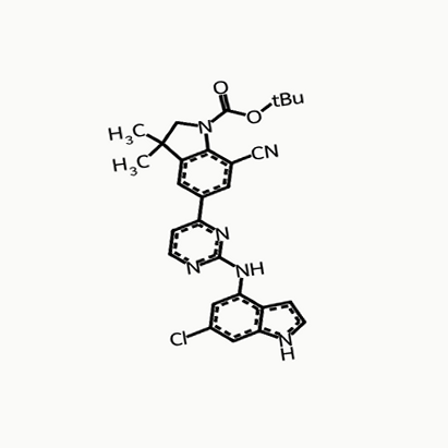 CC(C)(C)OC(=O)N1CC(C)(C)c2cc(-c3ccnc(Nc4cc(Cl)cc5[nH]ccc45)n3)cc(C#N)c21